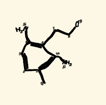 Cc1ccc(N)c(CCCl)c1N